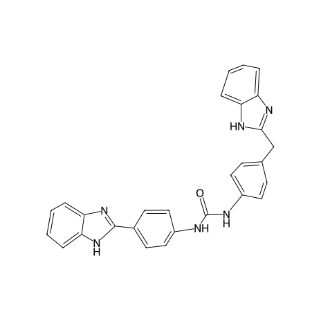 O=C(Nc1ccc(Cc2nc3ccccc3[nH]2)cc1)Nc1ccc(-c2nc3ccccc3[nH]2)cc1